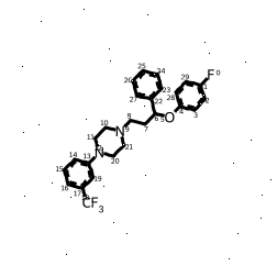 Fc1ccc(OC(CCN2CCN(c3cccc(C(F)(F)F)c3)CC2)c2ccccc2)cc1